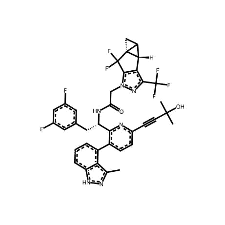 Cc1n[nH]c2cccc(-c3ccc(C#CC(C)(C)O)nc3[C@H](Cc3cc(F)cc(F)c3)NC(=O)Cn3nc(C(F)(F)F)c4c3C(F)(F)[C@@]35CC3[C@H]45)c12